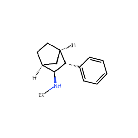 CCN[C@H]1[C@H]2CC[C@H](C2)[C@@H]1c1ccccc1